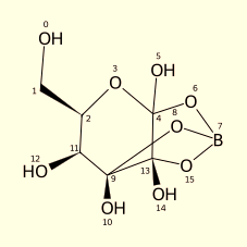 OC[C@H]1OC2(O)OB3O[C@@](O)([C@H]1O)[C@@]2(O)O3